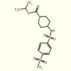 CS(=O)(=O)c1ccc(S(=O)(=O)NC2CCN(C(=O)OC(C(F)(F)F)C(F)(F)F)CC2)cc1